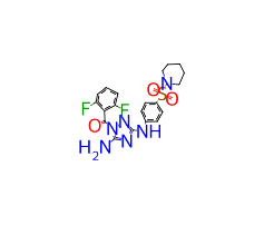 Nc1nc(Nc2ccc(S(=O)(=O)N3CCCCC3)cc2)nn1C(=O)c1c(F)cccc1F